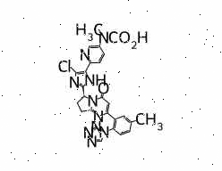 Cc1ccc(-n2cnnn2)c(-c2cc(=O)n3c(n2)CC[C@H]3c2nc(Cl)c(-c3ccc(N(C)C(=O)O)cn3)[nH]2)c1